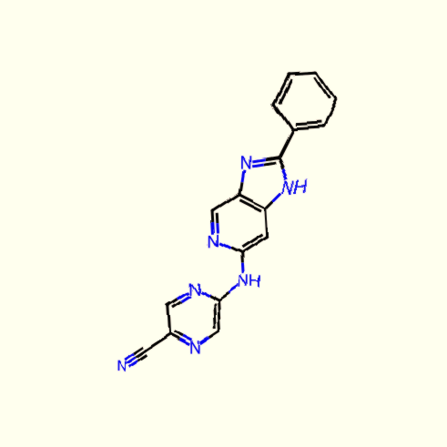 N#Cc1cnc(Nc2cc3[nH]c(-c4ccccc4)nc3cn2)cn1